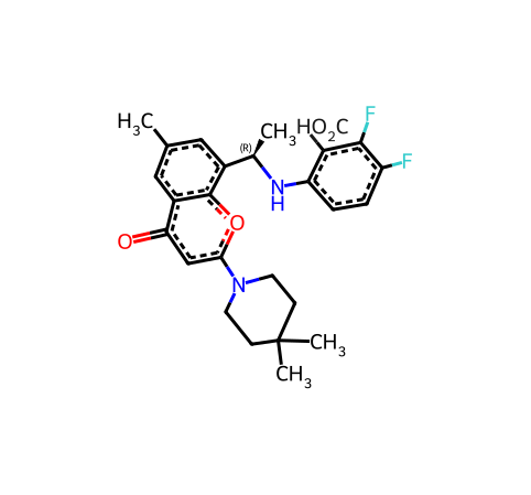 Cc1cc([C@@H](C)Nc2ccc(F)c(F)c2C(=O)O)c2oc(N3CCC(C)(C)CC3)cc(=O)c2c1